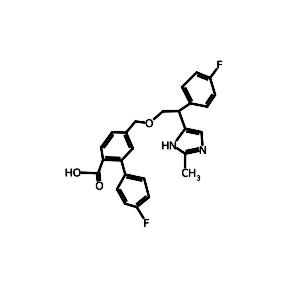 Cc1ncc(C(COCc2ccc(C(=O)O)c(-c3ccc(F)cc3)c2)c2ccc(F)cc2)[nH]1